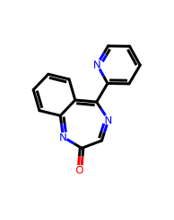 O=c1cnc(-c2ccccn2)c2ccccc2n1